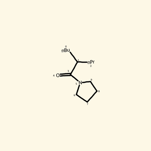 CCCCC(CCC)C(=O)N1CCCC1